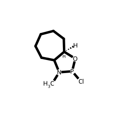 CN1C2CCCCC[C@H]2OP1Cl